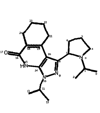 CC(C)N1CCCC1c1nn(C(C)C)c2[nH]c(=O)c3c(c12)CCCC3